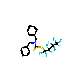 FC(F)(F)C(F)(F)C(F)(F)C(F)(F)SC(=S)N(Cc1ccccc1)Cc1ccccc1